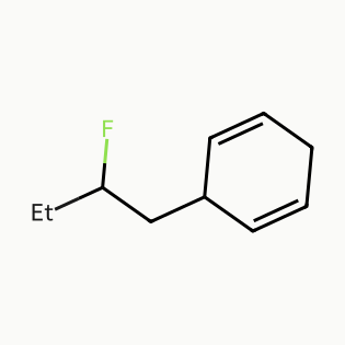 CCC(F)CC1C=CCC=C1